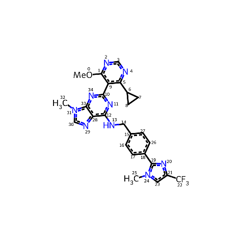 COc1ncnc(C2CC2)c1-c1nc(NCc2ccc(-c3nc(C(F)(F)F)cn3C)cc2)c2ncn(C)c2n1